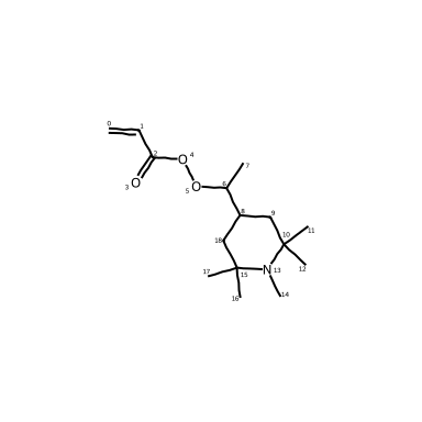 C=CC(=O)OOC(C)C1CC(C)(C)N(C)C(C)(C)C1